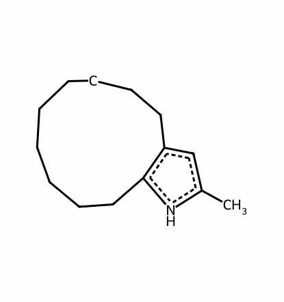 Cc1cc2c([nH]1)CCCCCCCCC2